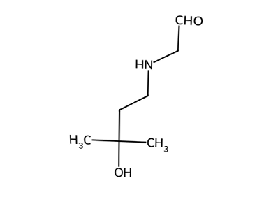 CC(C)(O)CCNCC=O